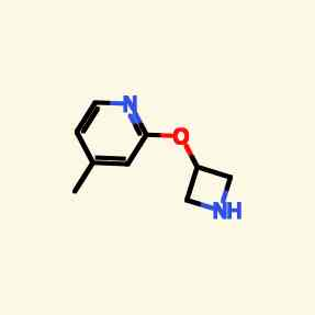 Cc1ccnc(OC2CNC2)c1